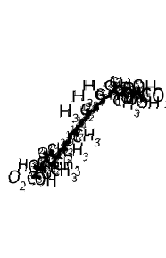 CC1=C(/C=C/C(C)=C/C=C/C(C)=C/C=C/C=C(C)/C=C/C=C(C)/C=C/C2=C(C)C(=O)C(OC(=O)C(O)C(O)C(=O)O)CC2(C)C)C(C)(C)CC(OC(=O)C(O)C(O)C(=O)O)C1=O